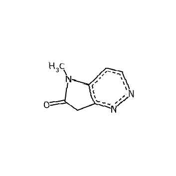 CN1C(=O)Cc2nnccc21